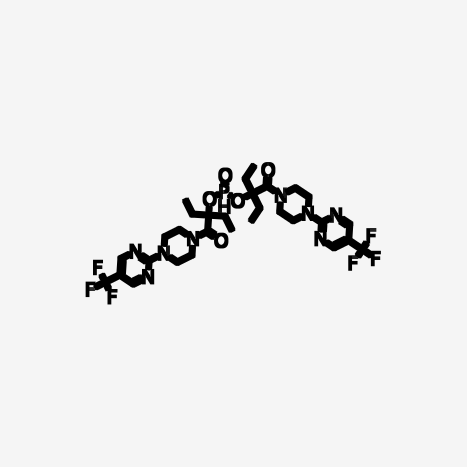 CCC(CC)(O[PH](=O)OC(CC)(CC)C(=O)N1CCN(c2ncc(C(F)(F)F)cn2)CC1)C(=O)N1CCN(c2ncc(C(F)(F)F)cn2)CC1